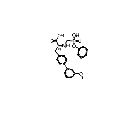 COc1cccc(-c2ccc(C[C@H](NCP(=O)(O)Oc3ccccc3)C(=O)O)cc2)c1